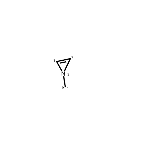 [CH2]N1C=C1